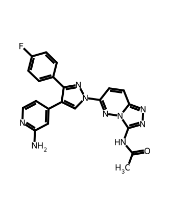 CC(=O)Nc1nnc2ccc(-n3cc(-c4ccnc(N)c4)c(-c4ccc(F)cc4)n3)nn12